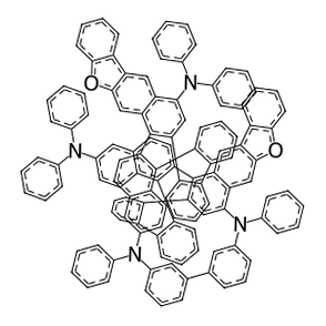 c1ccc(N(c2cccc(-c3cccc(N(c4ccccc4)c4cc5c(c6cc7c(cc46)oc4ccccc47)-c4ccc6cc(N(c7ccccc7)c7ccccc7)ccc6c4C54c5ccccc5-c5ccccc54)c3)c2)c2ccc3c4c(ccc3c2)-c2c(cc(N(c3ccccc3)c3ccccc3)c3cc5c(cc23)oc2ccccc25)C42c3ccccc3-c3ccccc32)cc1